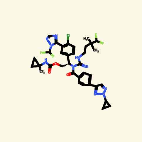 CC(C)(CCNC(=N)N(C(=O)c1ccc(-c2cnn(C3CC3)n2)cc1)[C@H](COC(=O)NC1(C(F)(F)F)CC1)c1ccc(Cl)c(-c2ncnn2C(F)F)c1)C(F)F